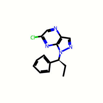 CC[C@@H](c1ccccc1)n1ncc2ncc(Cl)nc21